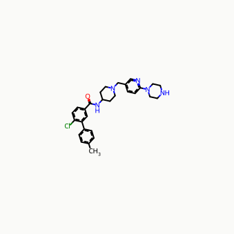 Cc1ccc(-c2cc(C(=O)NC3CCN(Cc4ccc(N5CCNCC5)nc4)CC3)ccc2Cl)cc1